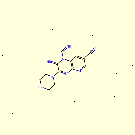 N#Cc1cnc2nc(N3CCNCC3)c(=N)n(C=N)c2c1